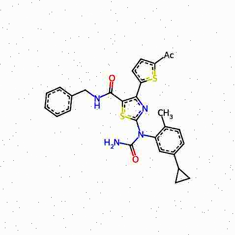 CC(=O)c1ccc(-c2nc(N(C(N)=O)c3cc(C4CC4)ccc3C)sc2C(=O)NCc2ccccc2)s1